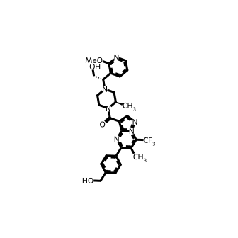 COc1ncccc1[C@@H](CO)N1CCN(C(=O)c2cnn3c(C(F)(F)F)c(C)c(-c4ccc(CO)cc4)nc23)[C@H](C)C1